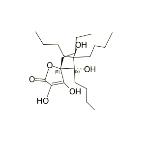 CCCCC(O)(CCCC)[C@@](O)(CCCC)[C@@]1(CCCC)OC(=O)C(O)=C1O